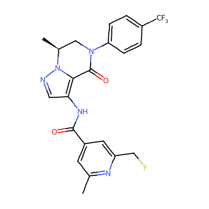 Cc1cc(C(=O)Nc2cnn3c2C(=O)N(c2ccc(C(F)(F)F)cc2)C[C@@H]3C)cc(CF)n1